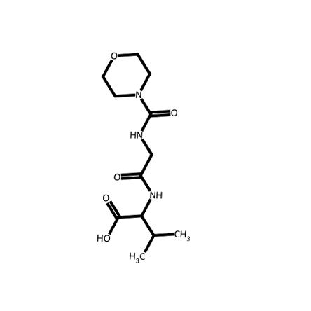 CC(C)C(NC(=O)CNC(=O)N1CCOCC1)C(=O)O